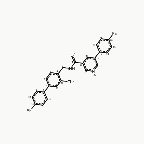 O=C(NCc1ccc(-c2ccc(F)cc2)cc1Cl)c1cncc(-c2ccc(F)cc2)c1